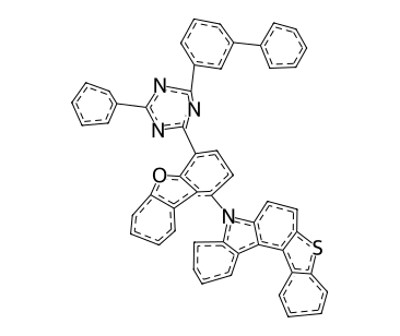 c1ccc(-c2cccc(-c3nc(-c4ccccc4)nc(-c4ccc(-n5c6ccccc6c6c7c(ccc65)sc5ccccc57)c5c4oc4ccccc45)n3)c2)cc1